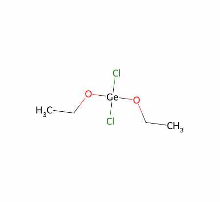 CC[O][Ge]([Cl])([Cl])[O]CC